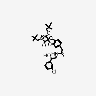 C[C@H](Cc1ccc2c(c1)OC(C(=O)OCC(C)(C)C)(C(=O)OCC(C)(C)C)O2)NC[C@H](O)c1cccc(Cl)c1